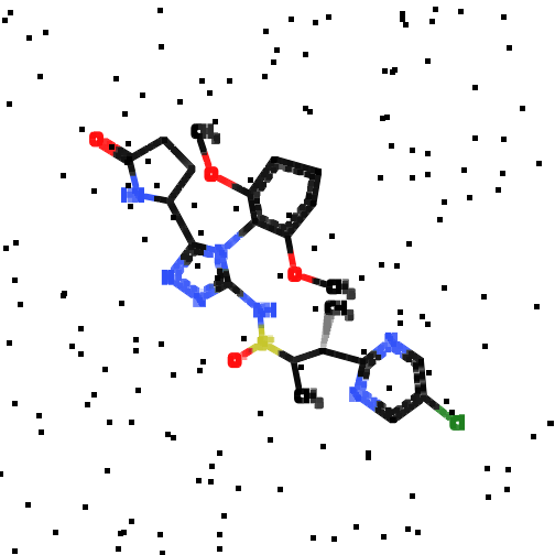 COc1cccc(OC)c1-n1c(N[S+]([O-])C(C)[C@H](C)c2ncc(Cl)cn2)nnc1C1CCC(=O)N1